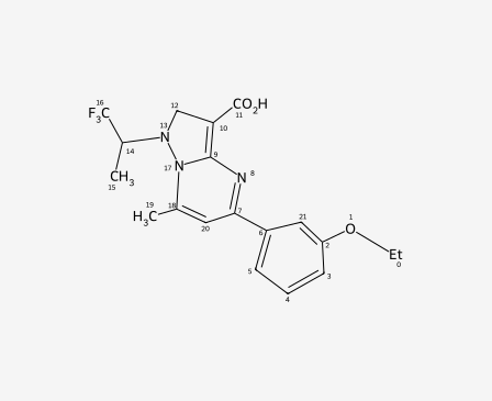 CCOc1cccc(C2=NC3=C(C(=O)O)CN(C(C)C(F)(F)F)N3C(C)=C2)c1